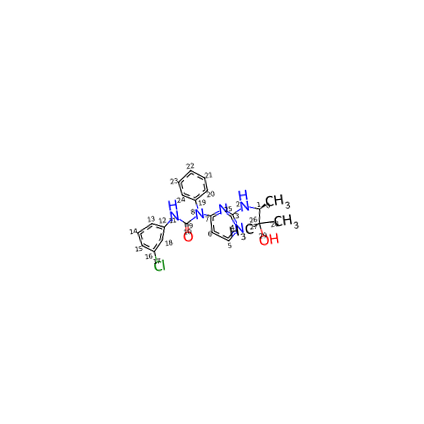 C[C@H](Nc1nccc(N(C(=O)Nc2cccc(Cl)c2)c2ccccc2)n1)C(C)(C)O